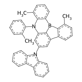 Cc1ccccc1N1c2cc(-n3c4ccccc4c4ccccc43)cc3c2B(c2cccc(C)c21)c1c(C)cccc1-3